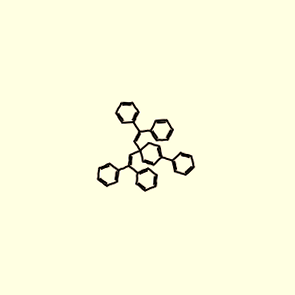 C1=CC(C=C(c2ccccc2)c2ccccc2)(C=C(c2ccccc2)c2ccccc2)CC=C1c1ccccc1